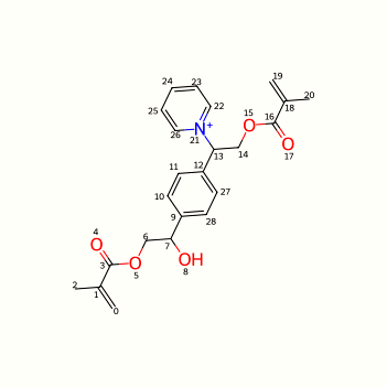 C=C(C)C(=O)OCC(O)c1ccc(C(COC(=O)C(=C)C)[n+]2ccccc2)cc1